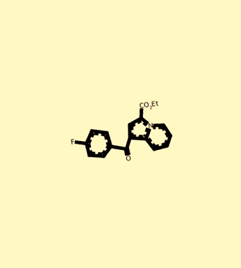 CCOC(=O)c1cc(C(=O)c2ccc(F)cc2)c2ccccn12